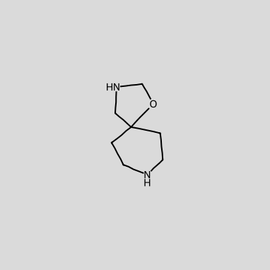 C1CC2(CCN1)CNCO2